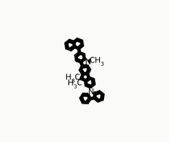 CN1c2cc3c(cc2C2=CC=C(c4cccc5ccccc45)CC21)C(C)(C)c1cc(-n2c4ccccc4c4ccccc42)ccc1-3